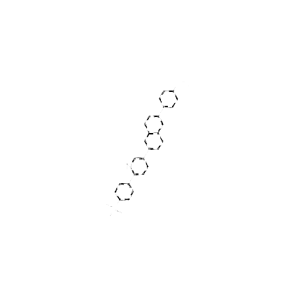 C[Si](C)(C)c1ccc(-c2ccc(-c3ccc4cc(-c5ccc(C(F)(F)F)cc5)ccc4c3)cn2)cc1